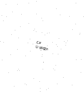 [Ca].[Li].[Mg].[Zn]